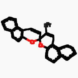 CCCC1=Cc2c(ccc3ccccc23)OC12C=Cc1c(ccc3ccccc13)O2